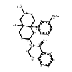 COc1cccc([C@@]23CCN(C)C[C@H]2CC[C@H](N(CC(C)C)C(=O)c2ccccc2)C3)c1